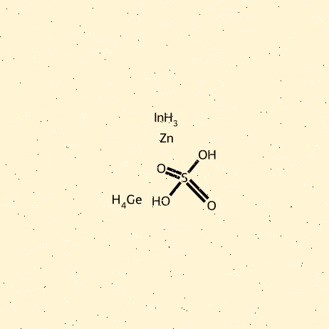 O=S(=O)(O)O.[GeH4].[InH3].[Zn]